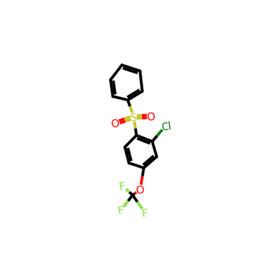 O=S(=O)(c1ccccc1)c1ccc(OC(F)(F)F)cc1Cl